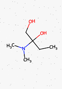 CCC(O)(CO)N(C)C